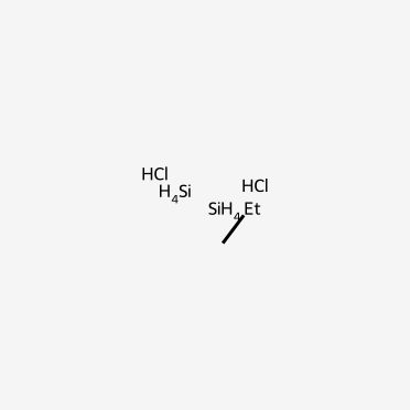 CCC.Cl.Cl.[SiH4].[SiH4]